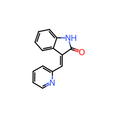 O=C1Nc2ccccc2/C1=C\c1ccccn1